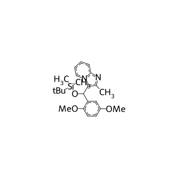 COc1ccc(OC)c(C(O[Si](C)(C)C(C)(C)C)c2c(C)nc3ccccn23)c1